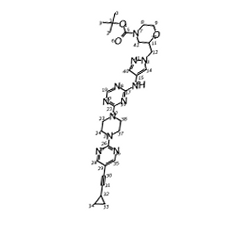 CC(C)(C)OC(=O)N1CCOC(Cn2cc(Nc3ncnc(N4CCN(c5ncc(C#CC6CC6)cn5)CC4)n3)cn2)C1